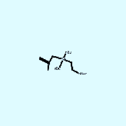 C=C(C)C[N+](CCCC)(CCCC)CCCCCCCCCCC